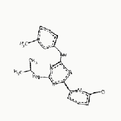 Cc1cccc(Nc2nc(NC(C)C)nc(-c3cccc(Cl)n3)n2)c1